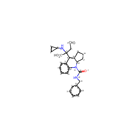 O=CCC(NC1CC1)(C(=O)O)C1c2ccccc2N(C(=O)NCc2ccccc2)C2CCCC21